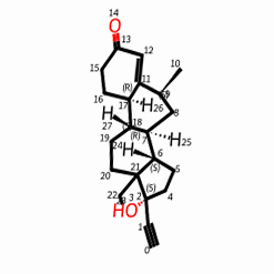 C#C[C@]1(O)CC[C@H]2[C@@H]3C[C@H](C)C4=CC(=O)CC[C@@H]4[C@H]3CCC21CC